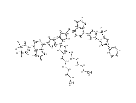 CC1(C)c2cc(-c3ccccc3)sc2-c2sc(-c3ccc(Cc4cc5c(s4)-c4sc(-c6ccc(B7OC(C)(C)C(C)(C)O7)c7nsnc67)cc4C5(CCCCCCCCO)CCCCCCCCO)c4nsnc34)cc21